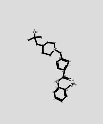 CC(C)(O)CC1CCN(Cc2ccc(C(=O)Nc3ccccc3N)cc2)CC1